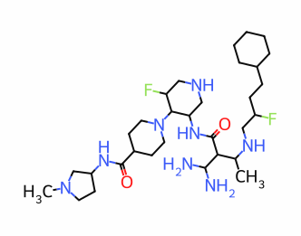 CC(NCC(F)CCC1CCCCC1)C(C(=O)NC1CNCC(F)C1N1CCC(C(=O)NC2CCN(C)C2)CC1)C(N)N